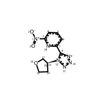 O=[N+]([O-])c1cccc(-c2nnnn2[C@H]2CCOC2)n1